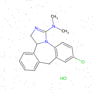 CN(C)C1=NCC2c3ccccc3Cc3cc(Cl)ccc3N12.Cl